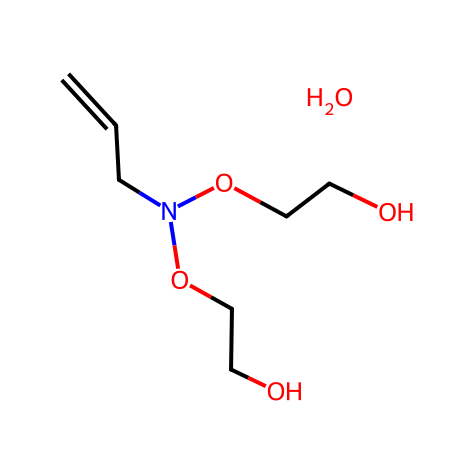 C=CCN(OCCO)OCCO.O